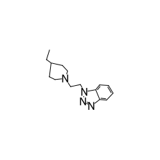 CCC1CCN(CCn2nnc3ccccc32)CC1